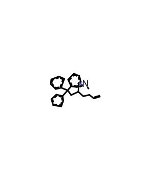 C=CCCC(/C=N\C)CC(c1ccccc1)(c1ccccc1)c1ccccc1